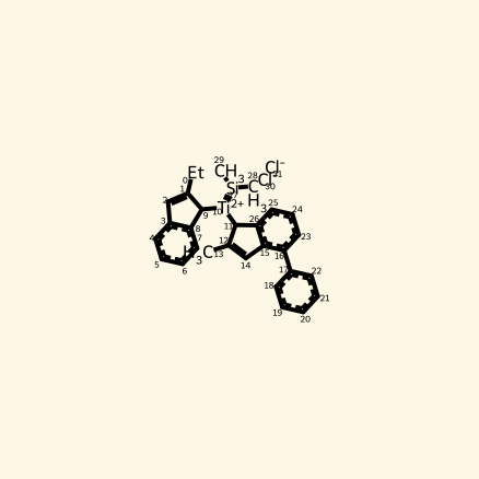 CCC1=Cc2ccccc2[CH]1[Ti+2]([CH]1C(C)=Cc2c(-c3ccccc3)cccc21)=[Si](C)C.[Cl-].[Cl-]